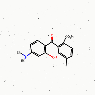 CCN(CC)c1ccc(C(=O)c2cc(C)ccc2C(=O)O)c(O)c1